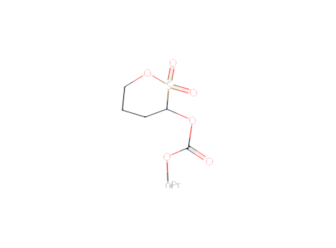 CCCOC(=O)OC1CCCOS1(=O)=O